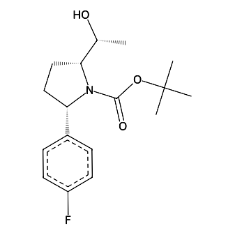 C[C@@H](O)[C@H]1CC[C@@H](c2ccc(F)cc2)N1C(=O)OC(C)(C)C